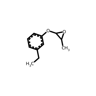 CCc1cccc(OC2OC2C)c1